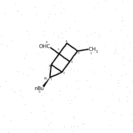 CCCC[C@@H]1C2C3C(C)CC3(C=O)C21